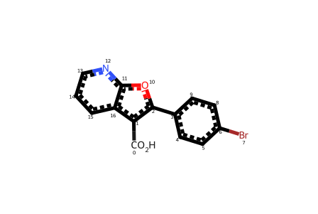 O=C(O)c1c(-c2ccc(Br)cc2)oc2ncccc12